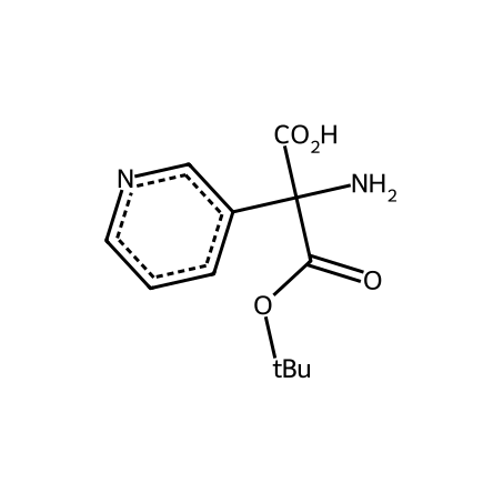 CC(C)(C)OC(=O)C(N)(C(=O)O)c1cccnc1